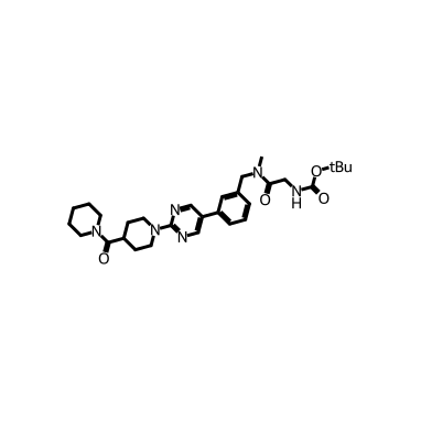 CN(Cc1cccc(-c2cnc(N3CCC(C(=O)N4CCCCC4)CC3)nc2)c1)C(=O)CNC(=O)OC(C)(C)C